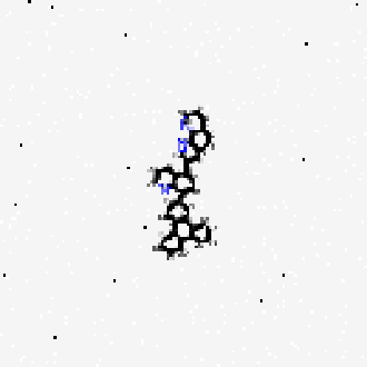 C1=CC2C=Cc3cc(-c4ccc(-c5ccc6c7ccccc7c7ccccc7c6c5)c5ncccc45)cnc3C2N=C1